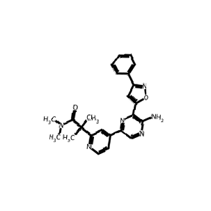 CN(C)C(=O)C(C)(C)c1cc(-c2cnc(N)c(-c3cc(-c4ccccc4)no3)n2)ccn1